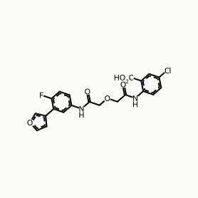 O=C(COCC(=O)Nc1ccc(Cl)cc1C(=O)O)Nc1ccc(F)c(-c2ccoc2)c1